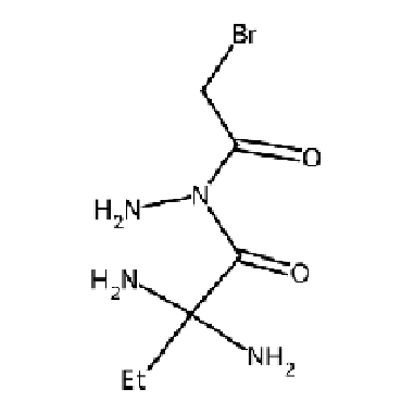 CCC(N)(N)C(=O)N(N)C(=O)CBr